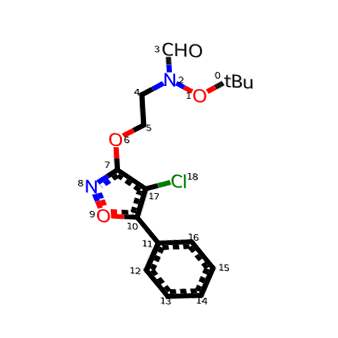 CC(C)(C)ON(C=O)CCOc1noc(-c2ccccc2)c1Cl